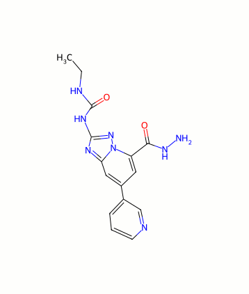 CCNC(=O)Nc1nc2cc(-c3cccnc3)cc(C(=O)NN)n2n1